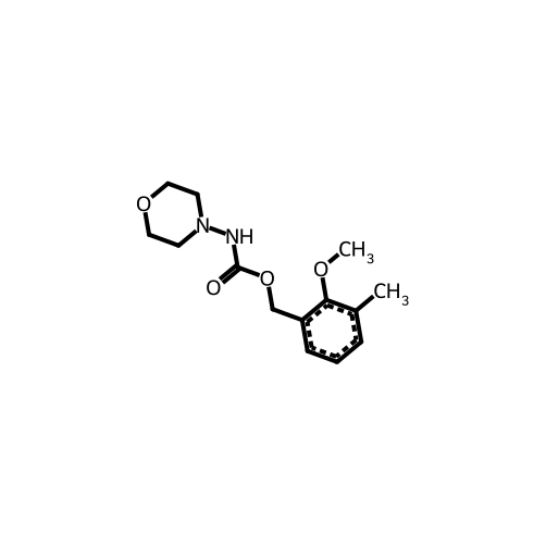 COc1c(C)cccc1COC(=O)NN1CCOCC1